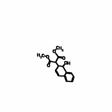 COC(=O)C(C(=O)OC)C1C=Cc2ccccc2C1O